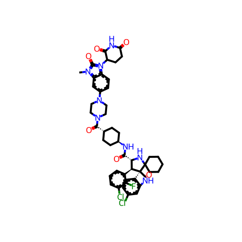 Cn1c(=O)n(C2CCC(=O)NC2=O)c2ccc(N3CCN(C(=O)[C@H]4CC[C@H](NC(=O)[C@@H]5NC6(CCCCC6)[C@@]6(C(=O)Nc7cc(Cl)ccc76)[C@H]5c5cccc(Cl)c5F)CC4)CC3)cc21